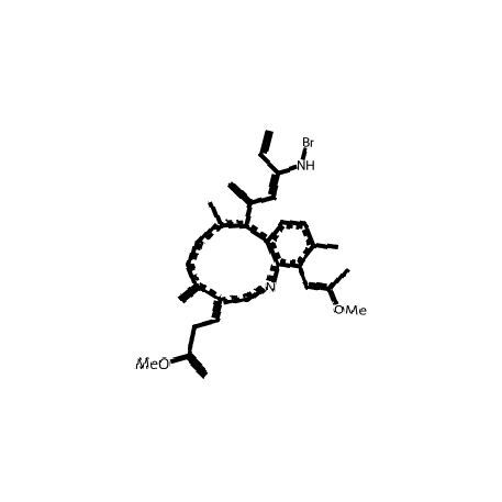 C=C/C(=C\C(=C)c1c(C)ccc(=C)/c(=C\CC(=C)OC)cnc2c(/C=C(\C)OC)c(C)ccc12)NBr